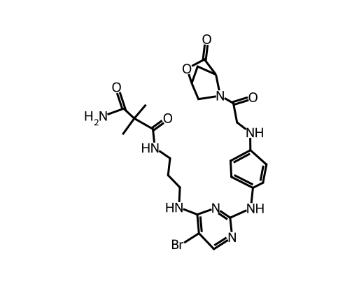 CC(C)(C(N)=O)C(=O)NCCCNc1nc(Nc2ccc(NCC(=O)N3CC4CC3C(=O)O4)cc2)ncc1Br